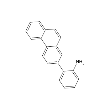 Nc1ccccc1-c1ccc2c(ccc3ccccc32)c1